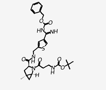 CC(C)(C)OC(=O)NCCC(=O)N1[C@H]2C[C@@]2(C)C[C@H]1C(=O)NCc1cc(C(=N)NC(=O)OCc2ccccc2)cs1